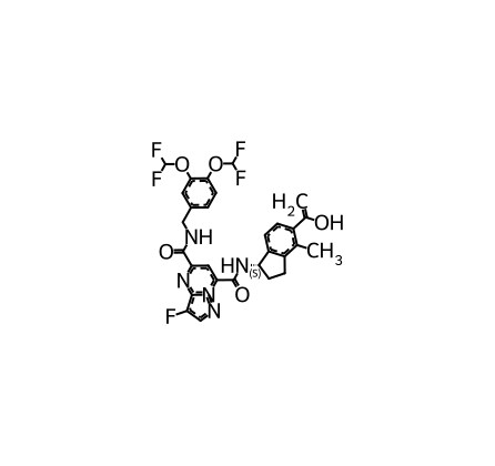 C=C(O)c1ccc2c(c1C)CC[C@@H]2NC(=O)c1cc(C(=O)NCc2ccc(OC(F)F)c(OC(F)F)c2)nc2c(F)cnn12